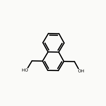 OCc1ccc(CO)c2ccccc12